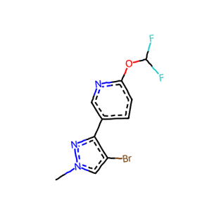 Cn1cc(Br)c(-c2ccc(OC(F)F)nc2)n1